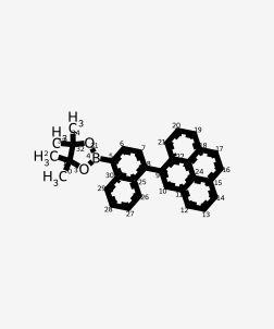 CC1(C)OB(c2ccc(-c3cc4cccc5ccc6cccc3c6c54)c3ccccc23)OC1(C)C